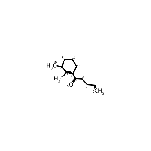 C=CCCC(=O)C1=C(C)C(C)CCC1